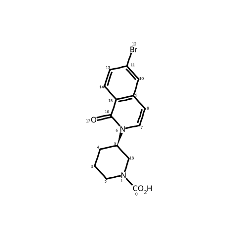 O=C(O)N1CCC[C@@H](n2ccc3cc(Br)ccc3c2=O)C1